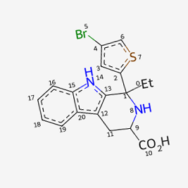 CCC1(c2cc(Br)cs2)NC(C(=O)O)Cc2c1[nH]c1ccccc21